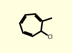 CC1=CC=CC=CC1Cl